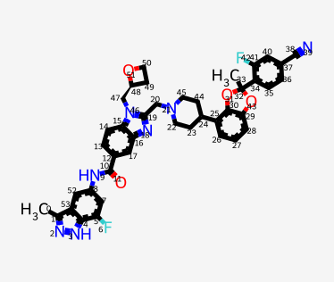 Cc1n[nH]c2c(F)cc(NC(=O)c3ccc4c(c3)nc(CN3CCC(c5cccc6c5OC(C)(c5ccc(C#N)cc5F)O6)CC3)n4C[C@@H]3CCO3)cc12